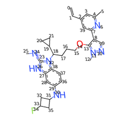 C=Cc1cc(C)nc(-c2cnn(C)c2OCCCC(C2CC2)n2/c(=N/C)[nH]c3cc(NC4CC(F)C4)ccc32)c1